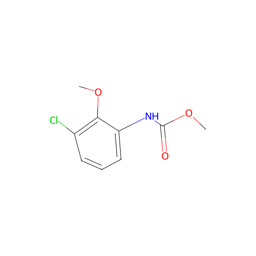 COC(=O)Nc1cccc(Cl)c1OC